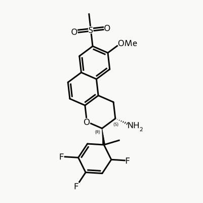 COc1cc2c3c(ccc2cc1S(C)(=O)=O)O[C@H](C1(C)C=C(F)C(F)=CC1F)[C@@H](N)C3